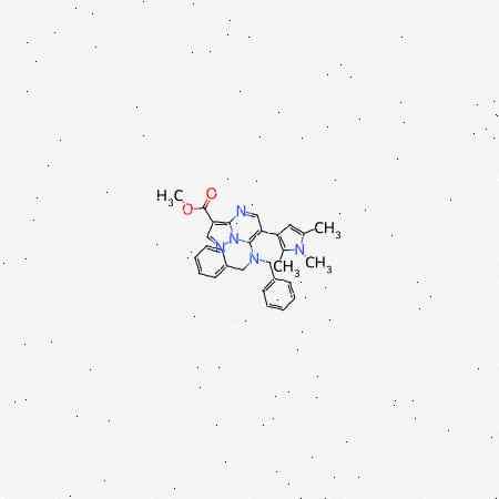 COC(=O)c1cnn2c(N(Cc3ccccc3)Cc3ccccc3)c(-c3cc(C)n(C)c3C)cnc12